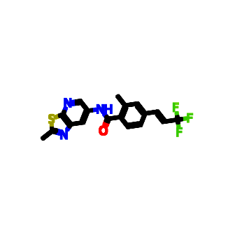 Cc1nc2cc(NC(=O)c3ccc(C=CC(F)(F)F)cc3C)cnc2s1